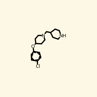 Clc1ccc(OC2CCN(CC3CCNCC3)CC2)cc1